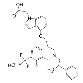 CC(CN(CCCOc1cccc2c1ccn2CC(=O)O)Cc1cccc(C(F)(F)F)c1F)c1ccccc1.Cl